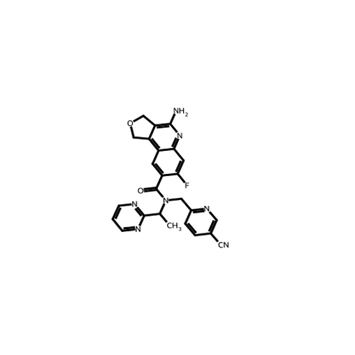 CC(c1ncccn1)N(Cc1ccc(C#N)cn1)C(=O)c1cc2c3c(c(N)nc2cc1F)COC3